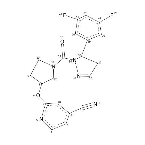 N#Cc1ccnc(OC2CCN(C(=O)N3N=CCC3c3cc(F)cc(F)c3)C2)c1